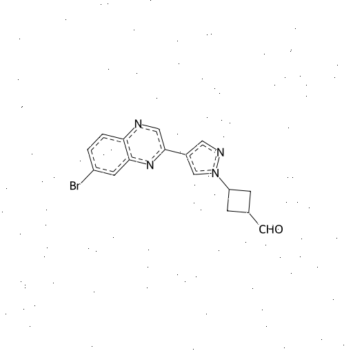 O=CC1CC(n2cc(-c3cnc4ccc(Br)cc4n3)cn2)C1